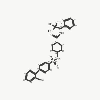 CC(C)(O)[C@@H](NC(=O)[C@H]1CC[C@H](NS(=O)(=O)c2ccc(-c3ccccc3F)cc2)CC1)c1ccccc1